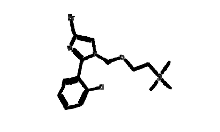 C[Si](C)(C)CCOCn1cc(Br)nc1-c1ccccc1Cl